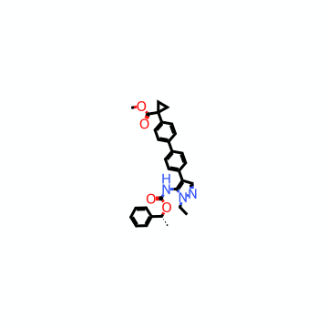 CCn1ncc(-c2ccc(-c3ccc(C4(C(=O)OC)CC4)cc3)cc2)c1NC(=O)O[C@H](C)c1ccccc1